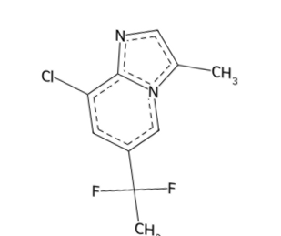 Cc1cnc2c(Cl)cc(C(C)(F)F)cn12